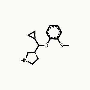 CSc1ccccc1O[C@H](C1CC1)[C@H]1CCNC1